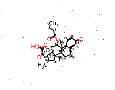 CCCC(=O)OC1C[C@]2(C)[C@@H](C(=O)C(=O)O)C(C)C[C@H]2[C@@H]2CC(F)C3=CC(=O)C=C[C@]3(C)[C@@H]12